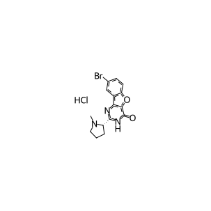 CN1CCC[C@H]1c1nc2c(oc3ccc(Br)cc32)c(=O)[nH]1.Cl